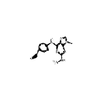 Cn1cnc2c(Nc3ccc(C#N)cc3)nc(NN)nc21